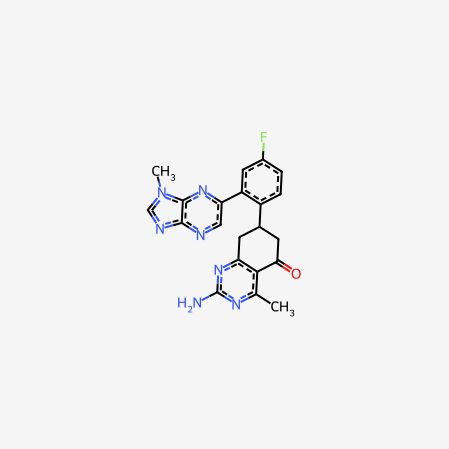 Cc1nc(N)nc2c1C(=O)CC(c1ccc(F)cc1-c1cnc3ncn(C)c3n1)C2